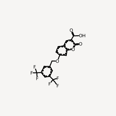 O=C(O)c1cc2ccc(OCc3cc(C(F)(F)F)cc(C(F)(F)F)c3)cc2oc1=O